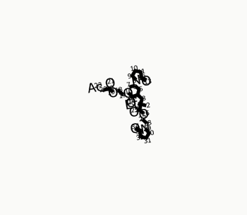 CCC(C)(CC(CC(C)N1CCCC1=O)C(=O)OCCOC(=O)CC(C)=O)C(=O)OCCN1CCCC1=O